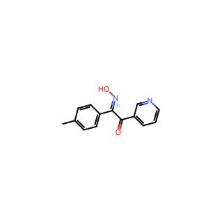 Cc1ccc(/C(=N\O)C(=O)c2cccnc2)cc1